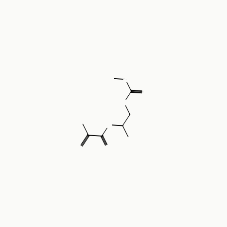 C=C(C)C(=O)OC(C)COC(=O)NCC